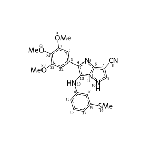 COc1cc(-c2nc3c(C#N)c[nH]n3c2Nc2cccc(SC)c2)cc(OC)c1OC